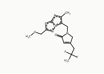 COCc1nn2c(CN3CC(CC(C)(F)F)=CC3=O)c(C)nc2s1